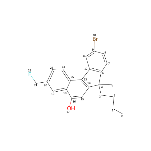 CCCCC1(C)c2ccc(Br)cc2-c2c1cc(O)c1cc(CF)ccc21